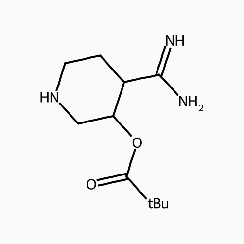 CC(C)(C)C(=O)OC1CNCCC1C(=N)N